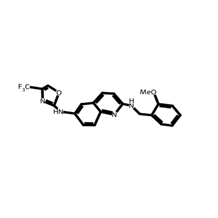 COc1ccccc1CNc1ccc2cc(Nc3nc(C(F)(F)F)co3)ccc2n1